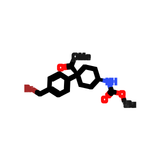 COC(=O)[C@]1(c2ccc(CBr)cc2)CC[C@H](NC(=O)OC(C)(C)C)CC1